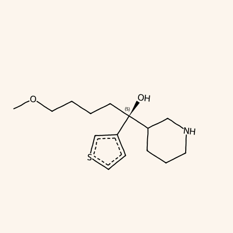 COCCCC[C@@](O)(c1ccsc1)C1CCCNC1